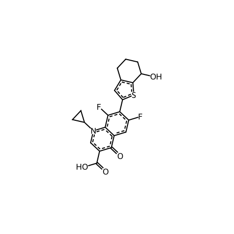 O=C(O)c1cn(C2CC2)c2c(F)c(-c3cc4c(s3)C(O)CCC4)c(F)cc2c1=O